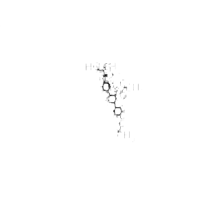 C=C(C)C(=O)Oc1cc(-c2ccc(CCCCC)cc2)ccc1-c1ccc(OC(=O)C(=C)CO)cc1